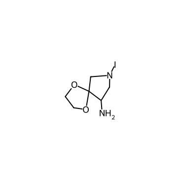 NC1CN(I)CC12OCCO2